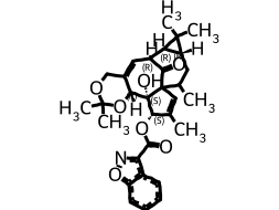 CC1=CC23C(=O)[C@@H](C=C4COC(C)(C)O[C@H]4[C@]2(O)[C@H]1OC(=O)c1noc2ccccc12)[C@H]1[C@@H](CC3C)C1(C)C